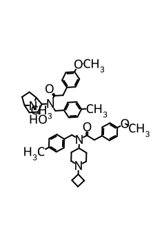 COc1ccc(CC(=O)N(Cc2ccc(C)cc2)C2C(O)CC3CCC2N3C)cc1.COc1ccc(CC(=O)N(Cc2ccc(C)cc2)C2CCN(C3CCC3)CC2)cc1